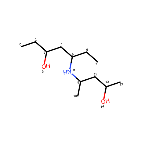 CCC(O)CC(CC)NC(C)CC(C)O